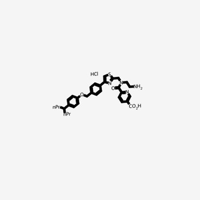 CCCC(CCC)c1ccc(OCc2ccc(-c3csc(CN(CCN)C(=O)c4ccc(C(=O)O)cn4)n3)cc2)cc1.Cl